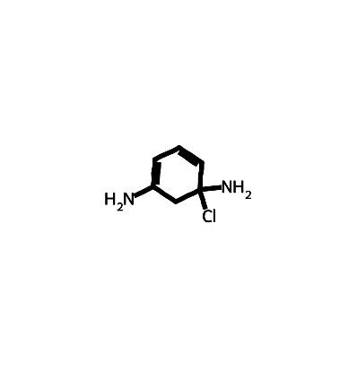 NC1=CC=CC(N)(Cl)C1